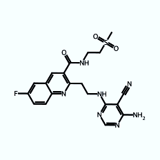 CS(=O)(=O)CCNC(=O)c1cc2cc(F)ccc2nc1CCNc1ncnc(N)c1C#N